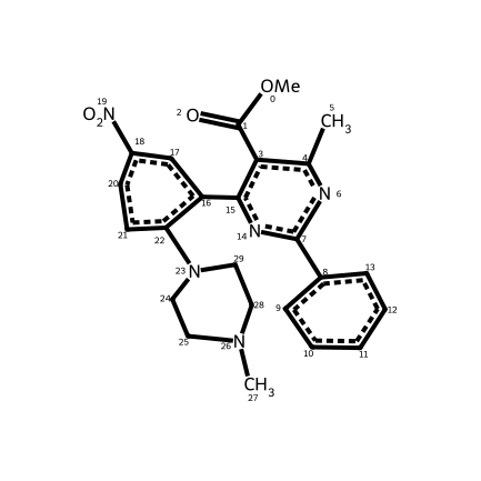 COC(=O)c1c(C)nc(-c2ccccc2)nc1-c1cc([N+](=O)[O-])ccc1N1CCN(C)CC1